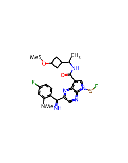 CNc1cc(F)ccc1C(=N)c1cnc2c(n1)c(C(=O)NC(C)C1CC(OSC)C1)cn2SF